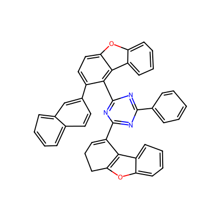 C1=C(c2nc(-c3ccccc3)nc(-c3c(-c4ccc5ccccc5c4)ccc4oc5ccccc5c34)n2)c2c(oc3ccccc23)CC1